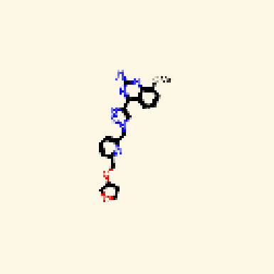 COc1cccc2c(-c3cn(Cc4cccc(CO[C@H]5CCOC5)n4)nn3)nc(N)nc12